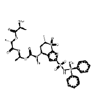 CCN(C(=O)OC(C)OC(=O)[C@H](C)OC(=O)[C@H](C)OC(C)=O)[C@H]1C[C@H](C)S(=O)(=O)c2sc(S(=O)(=O)N[Si](c3ccccc3)(c3ccccc3)C(C)(C)C)cc21